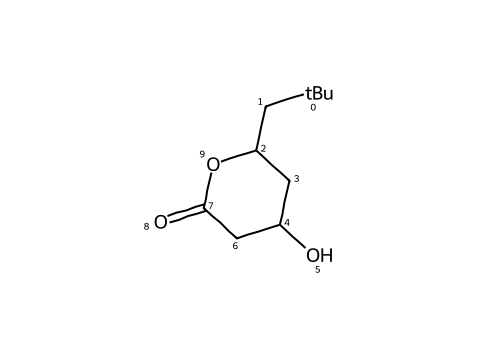 CC(C)(C)CC1CC(O)CC(=O)O1